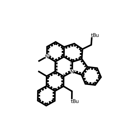 Cc1c2ccccc2c(CC(C)(C)C)c2c1c1c3c(cc[n+]1C)cc(CC(C)(C)C)c1c4ccccc4n2c13